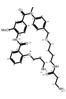 COc1cc(C(=O)N(C)c2ccc(COCCCCNC(=O)CCN)cc2)ccc1NC(=O)c1ccccc1OCCCN